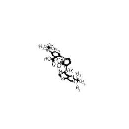 CC(C)(C)NC1CCC(N2CC[C@H](Nc3ncnc4cnc(C(C)(C)C)nc34)C2=O)C(C)(C(=O)O)C1